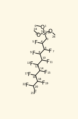 CO[Si](CC(F)C(F)C(F)C(F)C(F)C(F)C(F)C(F)C(F)F)(OC)OC